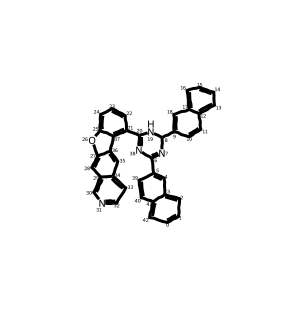 c1ccc2cc(C3=NC(c4ccc5ccccc5c4)NC(c4cccc5oc6cc7cnccc7cc6c45)=N3)ccc2c1